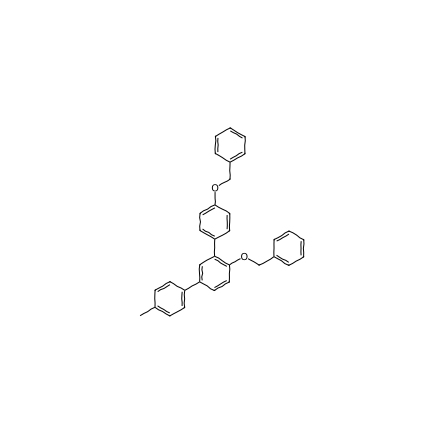 Cc1ccc(-c2ccc(OCc3ccccc3)c(-c3ccc(OCc4ccccc4)cc3)c2)cc1